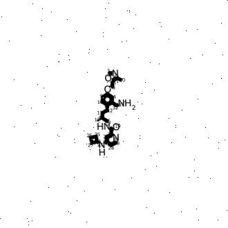 Cc1ncoc1COc1ccc(CC[C@H](C)CNC(=O)c2cc(NC3CCC3)ccn2)c(CN)c1